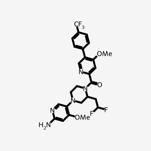 COc1cc(C(=O)N2CCN(c3cnc(N)cc3OC)CC2CC(F)F)ncc1-c1ccc(C(F)(F)F)cc1